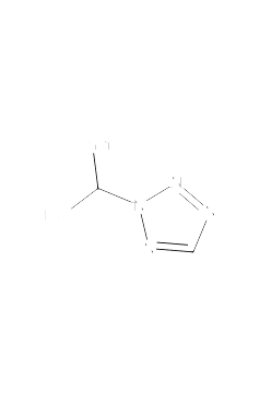 CCCC(O)n1n[c]nn1